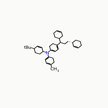 CC1=CC=C(N(C2=CC=C(C(CC[C@H]3C=CCCC3)C3CC=CCC3)CC2)C2C=CC(C(C)(C)C)CC2)CC1